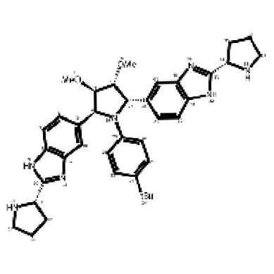 CO[C@H]1[C@H](OC)[C@H](c2ccc3[nH]c([C@@H]4CCCN4)nc3c2)N(c2ccc(C(C)(C)C)cc2)[C@H]1c1ccc2[nH]c([C@@H]3CCCN3)nc2c1